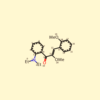 CCN(CC)c1ccccc1C(=O)C(=Cc1ccccc1OC)OC